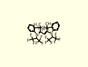 CC1(C)C(/C=C2/N(C(C(F)(F)F)C(F)(F)F)c3ccccc3C2(C)C)=[N+](C(C(F)(F)F)C(F)(F)F)c2ccccc21